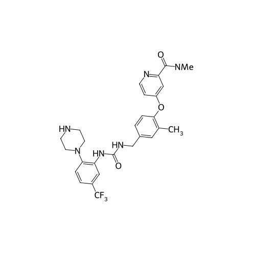 CNC(=O)c1cc(Oc2ccc(CNC(=O)Nc3cc(C(F)(F)F)ccc3N3CCNCC3)cc2C)ccn1